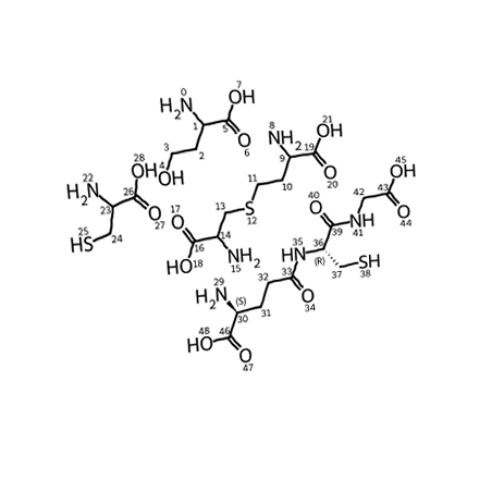 NC(CCO)C(=O)O.NC(CCSCC(N)C(=O)O)C(=O)O.NC(CS)C(=O)O.N[C@@H](CCC(=O)N[C@@H](CS)C(=O)NCC(=O)O)C(=O)O